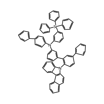 c1ccc(-c2ccc(N(c3cccc(-c4cc(-c5ccccc5)ccc4-n4c5ccccc5c5c6ccccc6ccc54)c3)c3cccc([Si](c4ccccc4)(c4ccccc4)c4ccccc4)c3)cc2)cc1